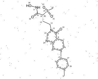 Cc1ccc(-c2ccc3c(=O)n(CC[C@H](C(=O)NO)S(C)(=O)=O)cnc3c2)cc1